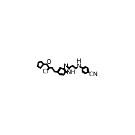 N#Cc1ccc(NCCc2nc3cc(CCC(Cl)C(=O)C4CCCC4)ccc3[nH]2)cc1